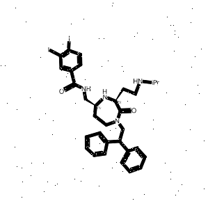 CC(C)NCC[C@@H]1N[C@H](CNC(=O)c2ccc(I)c(I)c2)CCN(CC(c2ccccc2)c2ccccc2)C1=O